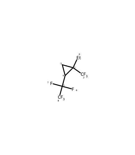 CCC1(C(F)(F)F)CC1C(F)(F)C(F)(F)F